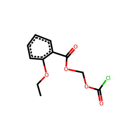 CCOc1ccccc1C(=O)OCOC(=O)Cl